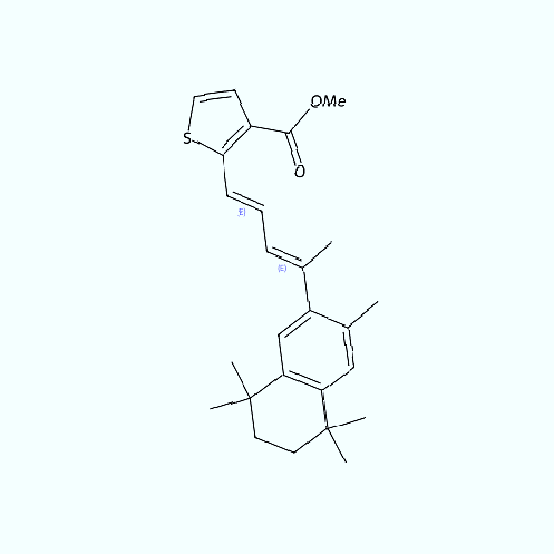 COC(=O)c1ccsc1/C=C/C=C(\C)c1cc2c(cc1C)C(C)(C)CCC2(C)C